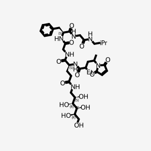 CCC(CC(C)N1C(=O)C=CC1=O)C(=O)N[C@@H](CCC(=O)NC[C@H](O)[C@@H](O)[C@H](O)[C@H](O)CO)C(=O)NCC(=O)N[C@@H](Cc1ccccc1)C(=O)NCC(=O)NCC(C)C